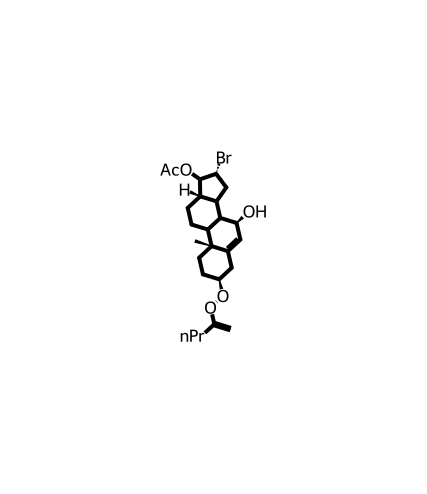 C=C(CCC)OO[C@H]1CC[C@@]2(C)C(=C[C@H](O)C3C4C[C@@H](Br)C(OC(C)=O)[C@H]4CCC32)C1